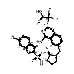 Nc1ncnc2ccc(CN3CC[C@H](NS(=O)(=O)c4cc5ccc(Cl)cc5s4)C3=O)cc12.O=C(O)C(F)(F)F